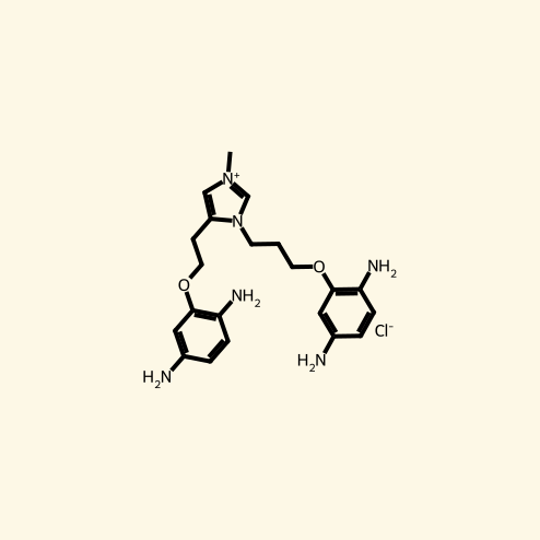 C[n+]1cc(CCOc2cc(N)ccc2N)n(CCCOc2cc(N)ccc2N)c1.[Cl-]